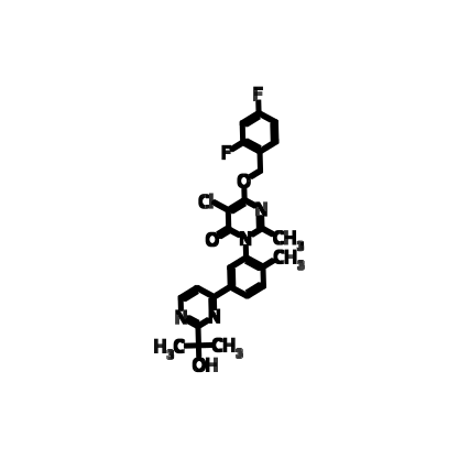 Cc1ccc(-c2ccnc(C(C)(C)O)n2)cc1-n1c(C)nc(OCc2ccc(F)cc2F)c(Cl)c1=O